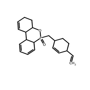 C=CC1C=CC(CP2(=O)OC3CCC=CC3C3C=CC=CC32)CC1